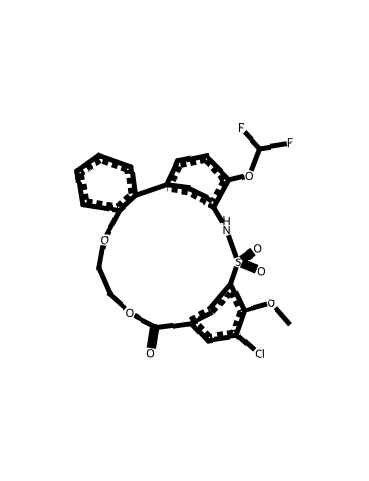 COc1c(Cl)cc2cc1S(=O)(=O)Nc1cc(ccc1OC(F)F)-c1ccccc1OCCOC2=O